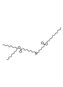 CCCCCCCCCCCOC(=O)CCCCCN(C)CCCCCCCC(=O)OC(CCCCCCCC)CCCCCCCC